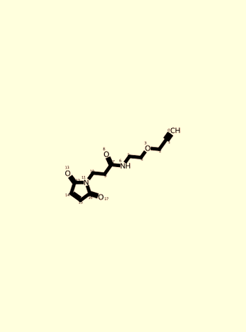 C#CCOCCNC(=O)CCN1C(=O)C=CC1=O